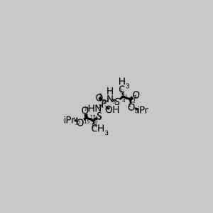 CC(C)OC(=O)[C@H](C)SNP(=O)(O)NS[C@@H](C)C(=O)OC(C)C